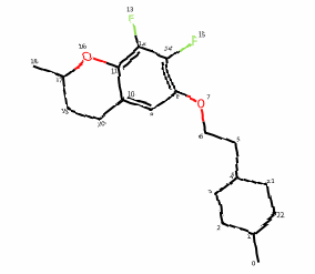 CC1CCC(CCOc2cc3c(c(F)c2F)OC(C)CC3)CC1